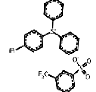 CC(C)c1ccc([S+](c2ccccc2)c2ccccc2)cc1.O=S(=O)([O-])c1cccc(C(F)(F)F)c1